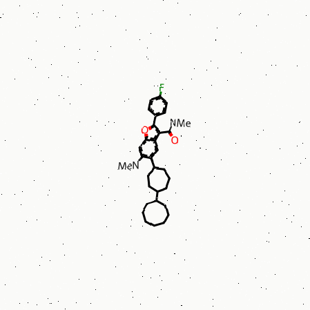 CNC(=O)c1c(-c2ccc(F)cc2)oc2cc(NC)c(C3CCCC(C4CCCCCCC4)CC3)cc12